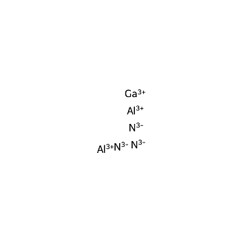 [Al+3].[Al+3].[Ga+3].[N-3].[N-3].[N-3]